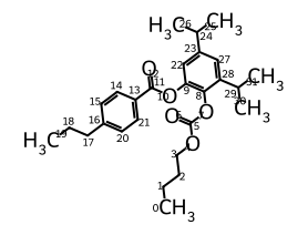 CCCCOC(=O)Oc1c(OC(=O)c2ccc(CCC)cc2)cc(C(C)C)cc1C(C)C